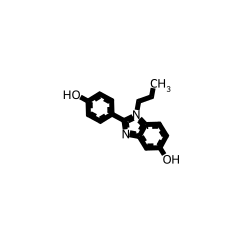 CCCn1c(-c2ccc(O)cc2)nc2cc(O)ccc21